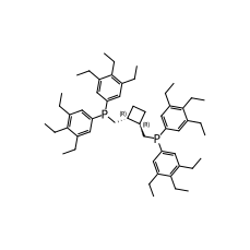 CCc1cc(P(C[C@@H]2CC[C@H]2CP(c2cc(CC)c(CC)c(CC)c2)c2cc(CC)c(CC)c(CC)c2)c2cc(CC)c(CC)c(CC)c2)cc(CC)c1CC